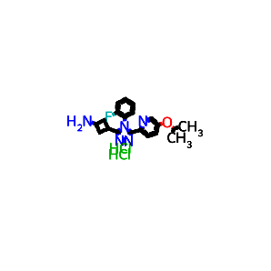 CC(C)Oc1ccc(-c2nnc(C3CC(N)C3)n2-c2ccccc2F)nc1.Cl.Cl